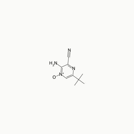 CC(C)(C)c1c[n+]([O-])c(N)c(C#N)n1